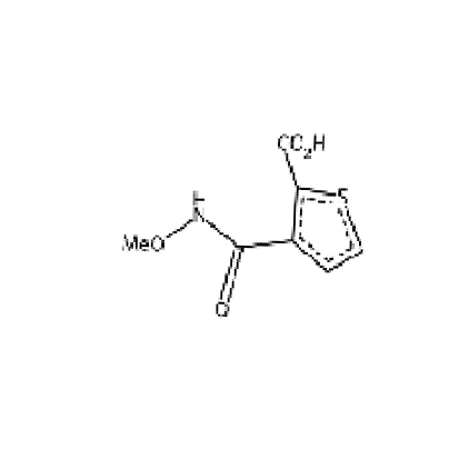 CONC(=O)c1ccsc1C(=O)O